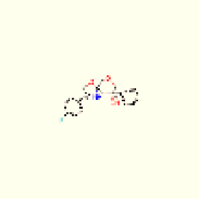 O[C@]1(c2ccccc2)COCC2(C1)N[C@@H](c1ccc(F)cc1)CO2